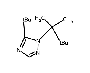 CC(C)(C)c1ncnn1C(C)(C)C(C)(C)C